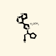 N#CC[C@H](C1CCCC1)n1cc(-c2ncnc3[nH]ccc23)cn1.O.O